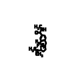 CNC(=O)c1ccc(CN2CCC(N(C)C)C2)c(C(F)(F)F)c1